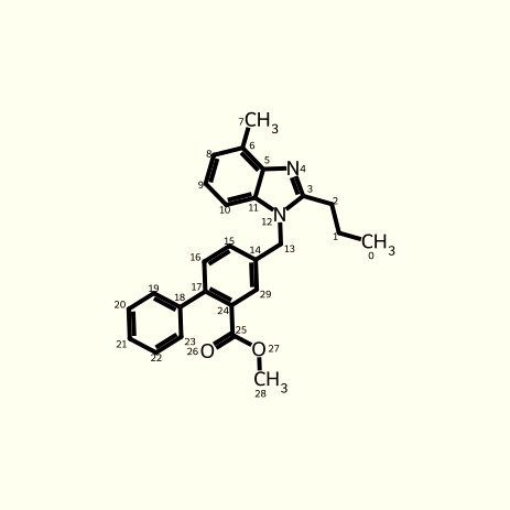 CCCc1nc2c(C)cccc2n1Cc1ccc(-c2ccccc2)c(C(=O)OC)c1